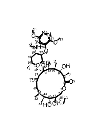 CC[C@H]1OC(=O)[C@H](C)[C@@H](O)[C@H](C)[C@@H](O[C@@H]2O[C@H](C)C[C@H](NC)[C@H]2Oc2cc(OC)nnc2OC)[C@](C)(O)C[C@@H](C)CN(C)[C@H](C)[C@@H](O)[C@]1(C)O